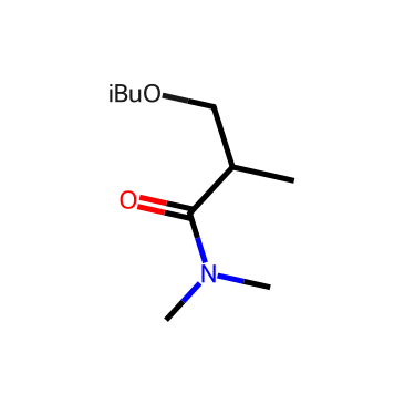 CC(C)COCC(C)C(=O)N(C)C